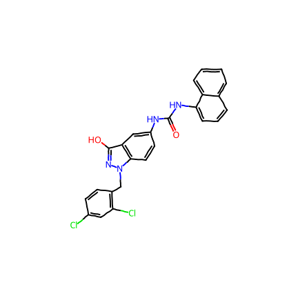 O=C(Nc1ccc2c(c1)c(O)nn2Cc1ccc(Cl)cc1Cl)Nc1cccc2ccccc12